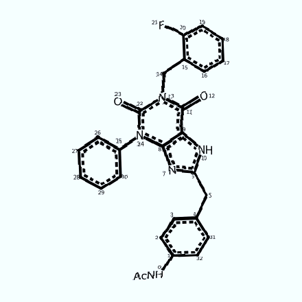 CC(=O)Nc1ccc(Cc2nc3c([nH]2)c(=O)n(Cc2ccccc2F)c(=O)n3-c2ccccc2)cc1